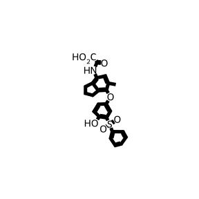 Cc1cc(NC(=O)C(=O)O)c2c(c1Oc1ccc(O)c(S(=O)(=O)c3ccccc3)c1)CCC2